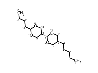 CCCCC[C@H]1CO[C@H](C2COC(CCCC)OC2)OC1